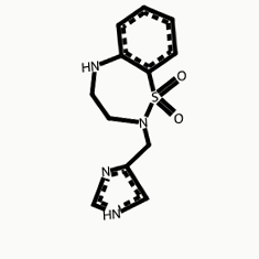 O=S1(=O)c2ccccc2NCCN1Cc1c[nH]cn1